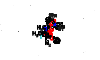 CC(C)C[C@@H](C(=O)O[C@H](Cc1ccc(C(C)(C)C)cc1)C(=O)N(C)[C@@H](CC(C)(C)F)C(=O)O[C@H](C)C(=O)OCc1ccccc1)N(C)C(=O)OC(C)(C)C